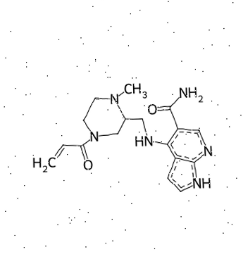 C=CC(=O)N1CCN(C)C(CNc2c(C(N)=O)cnc3[nH]ccc23)C1